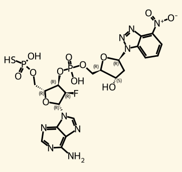 Nc1ncnc2c1ncn2[C@@H]1O[C@H](COP(=O)(O)S)[C@@H](OP(=O)(O)OC[C@H]2O[C@@H](n3nnc4c([N+](=O)[O-])cccc43)C[C@@H]2O)[C@H]1F